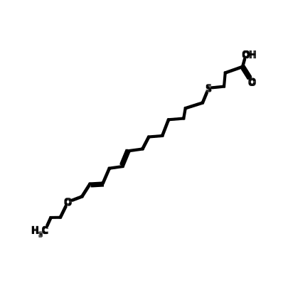 CCCOC/C=C/C/C=C/CCCCCCCSCCC(=O)O